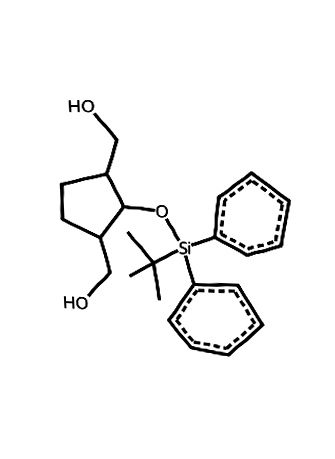 CC(C)(C)[Si](OC1C(CO)CCC1CO)(c1ccccc1)c1ccccc1